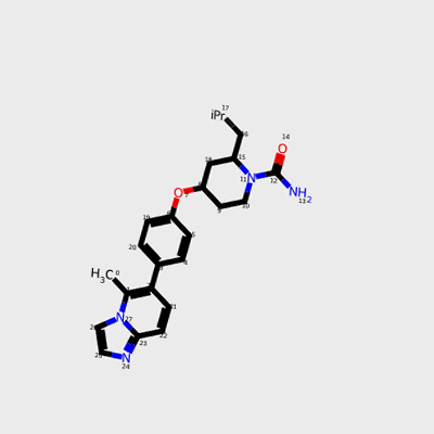 Cc1c(-c2ccc(OC3CCN(C(N)=O)C(CC(C)C)C3)cc2)ccc2nccn12